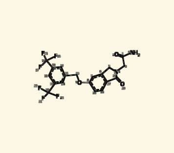 NC(=O)CN1Cc2cc(OCc3cc(C(F)(F)F)cc(C(F)(F)F)c3)ccc2C1=O